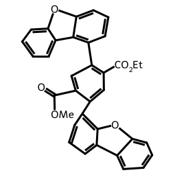 CCOC(=O)c1cc(-c2cccc3c2oc2ccccc23)c(C(=O)OC)cc1-c1cccc2oc3ccccc3c12